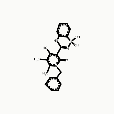 Cc1c(O)c(C2=NS(O)(O)c3ccccc3N2)c(=O)n(Cc2ccccc2)c1C